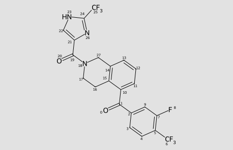 O=C(c1ccc(C(F)(F)F)c(F)c1)c1cccc2c1CCN(C(=O)c1c[nH]c(C(F)(F)F)n1)C2